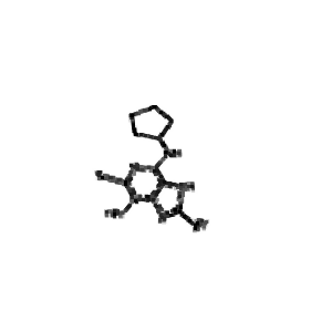 CCCn1c(=S)nc(NC2CCCC2)c2[nH]c(C(C)C)nc21